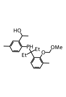 CCC(CC)(Pc1ccc(C)cc1C(C)O)c1cccc(C)c1OCOC